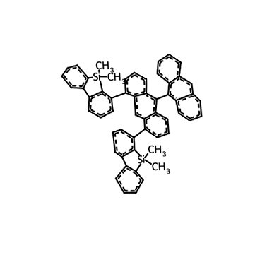 C[Si]1(C)c2ccccc2-c2cccc(-c3cccc4c(-c5c6ccccc6cc6ccccc56)c5cccc(-c6cccc7c6[Si](C)(C)c6ccccc6-7)c5cc34)c21